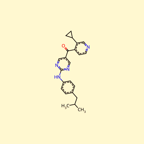 CC(C)Cc1ccc(Nc2ncc(C(=O)c3ccncc3C3CC3)cn2)cc1